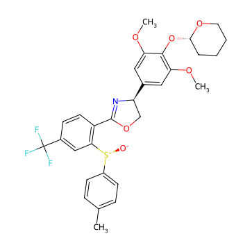 COc1cc([C@H]2COC(c3ccc(C(F)(F)F)cc3[S@@+]([O-])c3ccc(C)cc3)=N2)cc(OC)c1O[C@H]1CCCCO1